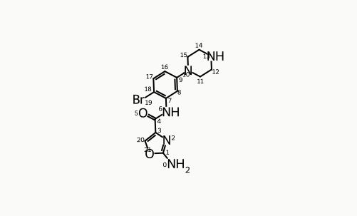 Nc1nc(C(=O)Nc2cc(N3CCNCC3)ccc2Br)co1